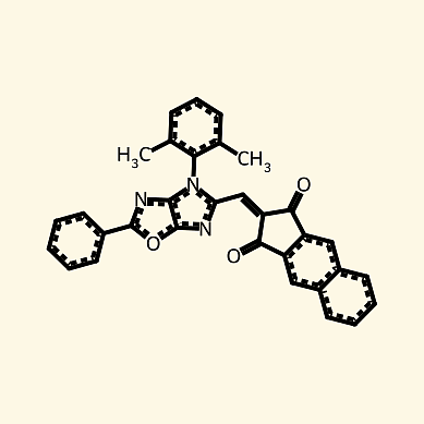 Cc1cccc(C)c1-n1c(C=C2C(=O)c3cc4ccccc4cc3C2=O)nc2oc(-c3ccccc3)nc21